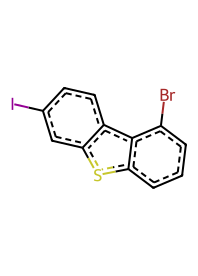 Brc1cccc2sc3cc(I)ccc3c12